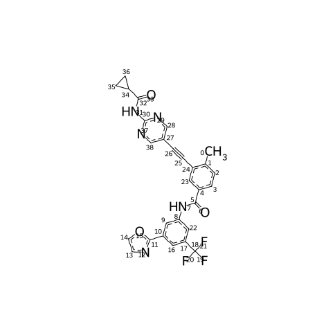 Cc1ccc(C(=O)Nc2cc(-c3ncco3)cc(C(F)(F)F)c2)cc1C#Cc1cnc(NC(=O)C2CC2)nc1